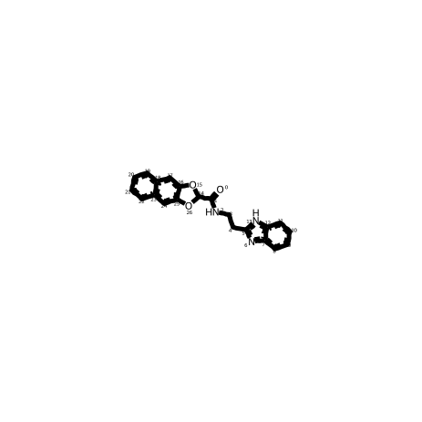 O=C(NCCc1nc2ccccc2[nH]1)C1Oc2cc3ccccc3cc2O1